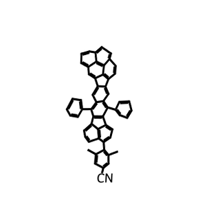 Cc1cc(C#N)cc(C)c1-c1ccc2c3c(-c4ccccc4)c4cc5c(cc4c(-c4ccccc4)c3c3cccc1c23)c1cc2cccc3ccc4ccc5c1c4c32